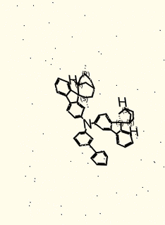 C[C@@H]1CC2C[C@@H](C1)C1(c3ccccc3-c3ccc(N(c4cccc(-c5ccccc5)c4)c4ccc5c(c4)-c4ccccc4[C@@]54C[C@H]5CC[C@@H]4C5)cc31)[C@@H](C)C2